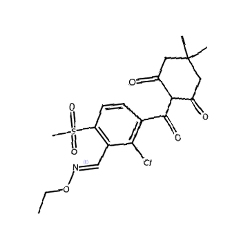 CCO/N=C/c1c(S(C)(=O)=O)ccc(C(=O)C2C(=O)CC(C)(C)CC2=O)c1Cl